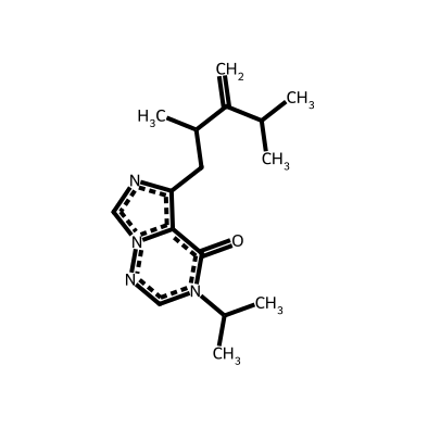 C=C(C(C)C)C(C)Cc1ncn2ncn(C(C)C)c(=O)c12